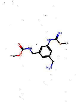 CCSC(=N)Nc1cc(CN)cc(CNC(=O)OC(C)(C)C)c1